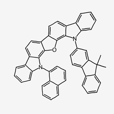 CC1(C)c2ccccc2-c2ccc(-n3c4ccccc4c4ccc5c6ccc7c8ccccc8n(-c8cccc9ccccc89)c7c6oc5c43)cc21